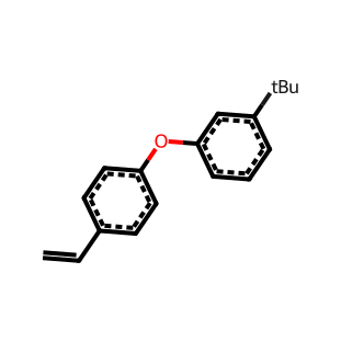 C=Cc1ccc(Oc2cccc(C(C)(C)C)c2)cc1